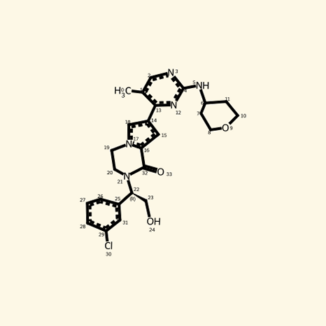 Cc1cnc(NC2CCOCC2)nc1-c1cc2n(c1)CCN([C@@H](CO)c1cccc(Cl)c1)C2=O